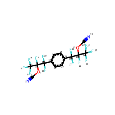 N#COC(F)(C(F)(F)F)C(F)(F)c1ccc(C(F)(F)C(F)(OC#N)C(F)(F)F)cc1